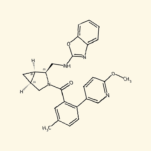 COc1ccc(-c2ccc(C)cc2C(=O)N2C[C@H]3C[C@H]3[C@H]2CNc2nc3ccccc3o2)cn1